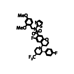 COc1ccc(CN(c2nccs2)S(=O)(=O)c2cc3c(cc2F)[C@@H](N2CC[C@@H](C(F)(F)F)C[C@H]2c2ccc(F)cc2)CCO3)c(OC)c1